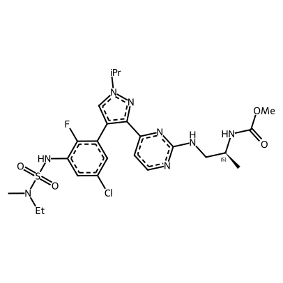 CCN(C)S(=O)(=O)Nc1cc(Cl)cc(-c2cn(C(C)C)nc2-c2ccnc(NC[C@H](C)NC(=O)OC)n2)c1F